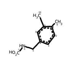 Cc1ccc(CNC(=O)O)cc1C